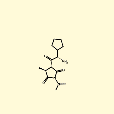 C[C@@H]1C(=O)N(N(C)C)C(=O)[C@H]1C(=O)[C@@H](N)C1CCCC1